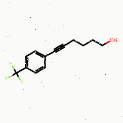 OCCCCC#Cc1ccc(C(F)(F)F)cc1